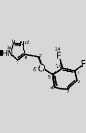 Fc1cccc(OCc2c[nH]cn2)c1F